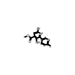 COC(=O)c1cc(Br)nc(-c2ccc(C)nc2)c1N